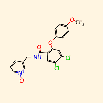 O=C(NCc1ccc[n+]([O-])c1)c1cc(Cl)c(Cl)cc1Oc1ccc(OC(F)(F)F)cc1